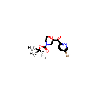 CC(C)(C)OC(=O)N1CCOC(C(=O)c2ccc(Br)cn2)C1